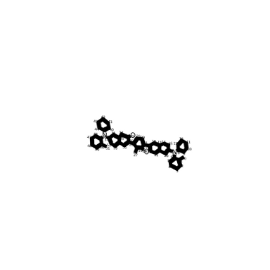 Cc1ccccc1N(c1ccccc1)c1ccc2cc3c(cc2c1)oc1c(C)c2c(cc13)oc1cc3cc(N(c4ccccc4)c4ccccc4C)ccc3cc12